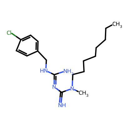 CCCCCCCCN(C)C(=N)/N=C(\N)NCc1ccc(Cl)cc1